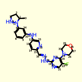 CC1CCNN1c1cccc(Nc2ccc(/C=N/Nc3ncc(F)c(N4CCOCC4)n3)nc2)c1